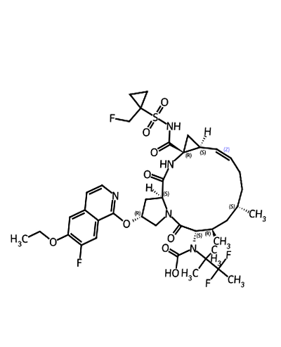 CCOc1cc2ccnc(O[C@@H]3C[C@H]4C(=O)N[C@]5(C(=O)NS(=O)(=O)C6(CF)CC6)C[C@H]5/C=C\CC[C@H](C)C[C@@H](C)[C@H](N(C(=O)O)C(C)(C)C(C)(F)F)C(=O)N4C3)c2cc1F